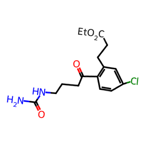 CCOC(=O)CCc1cc(Cl)ccc1C(=O)CCCNC(N)=O